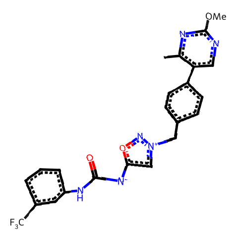 COc1ncc(-c2ccc(C[n+]3cc([N-]C(=O)Nc4cccc(C(F)(F)F)c4)on3)cc2)c(C)n1